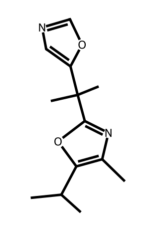 Cc1nc(C(C)(C)c2cnco2)oc1C(C)C